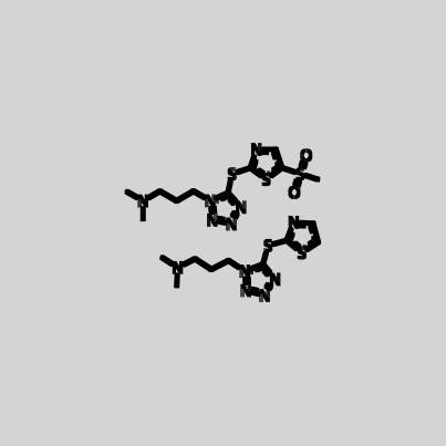 CN(C)CCCn1nnnc1Sc1ncc(S(C)(=O)=O)s1.CN(C)CCCn1nnnc1Sc1nccs1